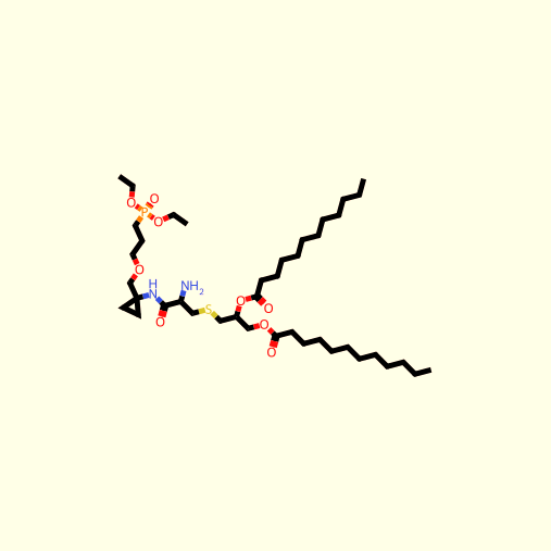 CCCCCCCCCCCC(=O)OCC(CSCC(N)C(=O)NC1(COCCCP(=O)(OCC)OCC)CC1)OC(=O)CCCCCCCCCCC